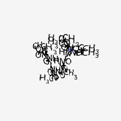 CCOC(=O)c1nc(NC(=O)CCNC(=O)c2c(NC(=O)c3nc(NC(=O)CCN/C(=N\C(=O)OC(C)(C)C)NC(=O)OC(C)(C)C)cn3C)ccn2C)cn1C